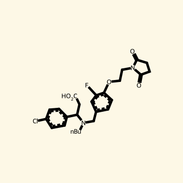 CCCCN(Cc1ccc(OCCN2C(=O)CCC2=O)c(F)c1)C(CC(=O)O)c1ccc(Cl)cc1